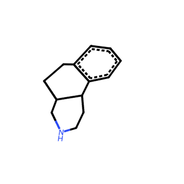 c1ccc2c(c1)CCC1CNCCC21